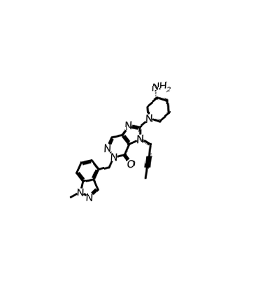 CC#CCn1c(N2CCC[C@@H](N)C2)nc2cnn(Cc3cccc4c3cnn4C)c(=O)c21